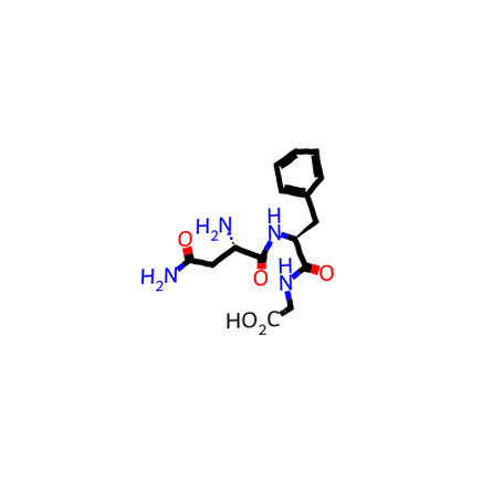 NC(=O)C[C@H](N)C(=O)N[C@@H](Cc1ccccc1)C(=O)NCC(=O)O